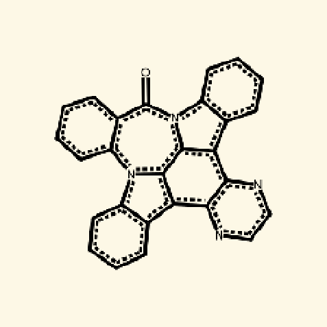 O=c1c2ccccc2n2c3ccccc3c3c4nccnc4c4c5ccccc5n1c4c32